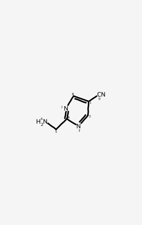 N#Cc1cnc(CN)nc1